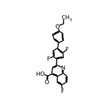 CCOc1ccc(-c2cc(F)c(-c3cc(C(=O)O)c4cc(F)ccc4n3)cc2F)cc1